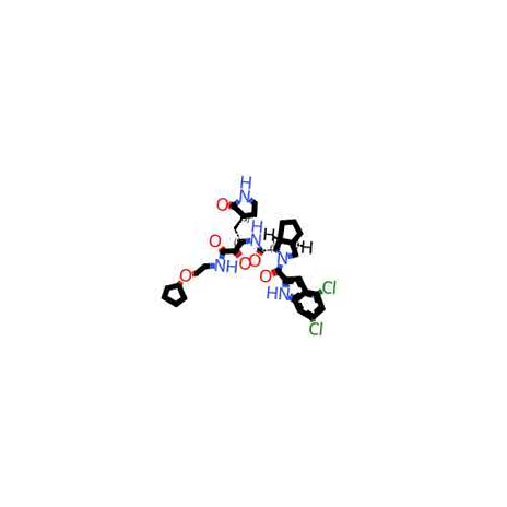 O=C(NCCOC1CCCC1)C(=O)[C@H](C[C@@H]1CCNC1=O)NC(=O)[C@@H]1[C@H]2CCC[C@H]2CN1C(=O)c1cc2c(Cl)cc(Cl)cc2[nH]1